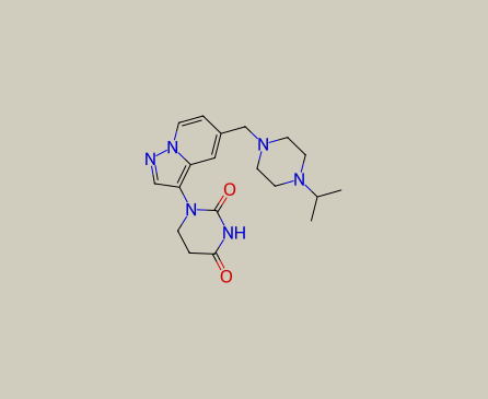 CC(C)N1CCN(Cc2ccn3ncc(N4CCC(=O)NC4=O)c3c2)CC1